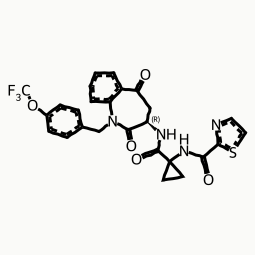 O=C(NC1(C(=O)N[C@@H]2CC(=O)c3ccccc3N(Cc3ccc(OC(F)(F)F)cc3)C2=O)CC1)c1nccs1